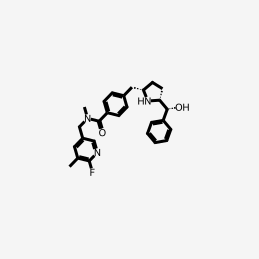 Cc1cc(CN(C)C(=O)c2ccc(C[C@@H]3CC[C@H]([C@H](O)c4ccccc4)N3)cc2)cnc1F